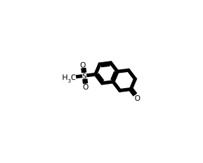 CS(=O)(=O)c1ccc2c(c1)CC(=O)CC2